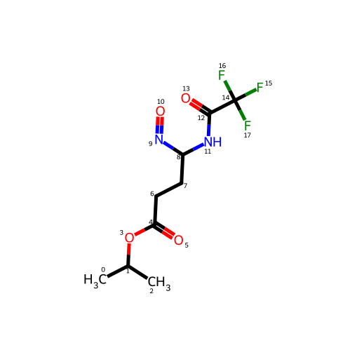 CC(C)OC(=O)CCC(N=O)NC(=O)C(F)(F)F